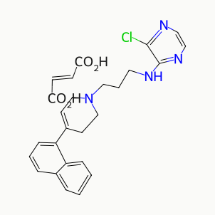 Clc1nccnc1NCCCN1CC=C(c2cccc3ccccc23)CC1.O=C(O)C=CC(=O)O